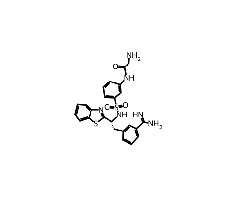 N=C(N)c1cccc(C[C@@H](NS(=O)(=O)c2cccc(NC(=O)CN)c2)c2nc3ccccc3s2)c1